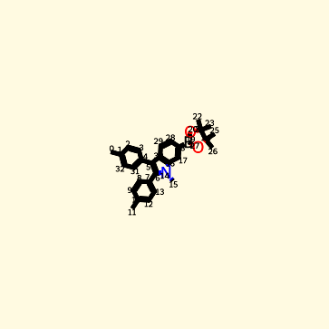 Cc1ccc(-c2c(-c3ccc(C)cc3)n(C)c3cc(B4OC(C)(C)C(C)(C)O4)ccc23)cc1